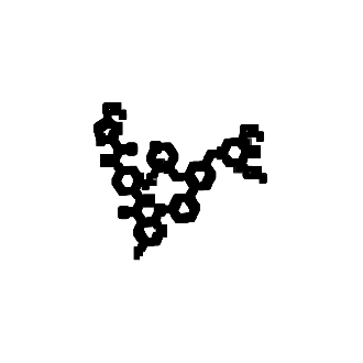 Cc1csc(C(=O)NC2CCC(NC(=O)c3cc(F)cnc3Oc3cccc(-c4ccc(CN5C[C@@H](C)N[C@@H](C)C5)cc4CN4CCOC[C@@H]4C)c3)CC2)n1